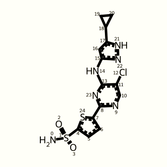 NS(=O)(=O)c1ccc(-c2ncc(Cl)c(Nc3cc(C4CC4)[nH]n3)n2)s1